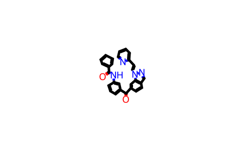 O=C(Nc1cccc(C(=O)c2ccc3cnn(C=Cc4ccccn4)c3c2)c1)c1ccccc1